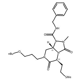 CCCCOCCCN1C[C@H]2N(C(=O)N(C)N2C(=O)NCc2ccccc2)[C@@H](CCSC)C1=O